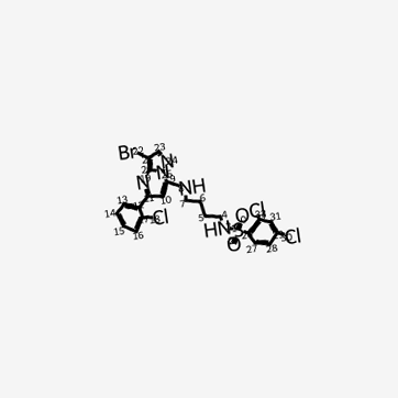 O=S(=O)(NCCCCNc1cc(-c2ccccc2Cl)nc2c(Br)cnn12)c1ccc(Cl)cc1Cl